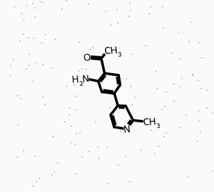 CC(=O)c1ccc(-c2ccnc(C)c2)cc1N